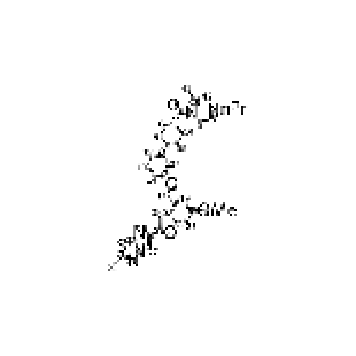 CCCN1CCN(C(=O)c2ccc(-c3cccc(OCc4cc(OC)cc5oc(-c6cn7nc(C)sc7n6)cc45)c3)cc2)[C@@H](C)C1